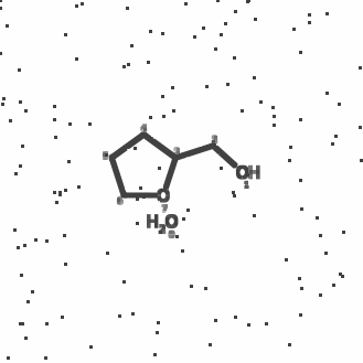 O.OCC1CCCO1